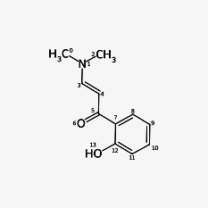 CN(C)C=CC(=O)c1ccccc1O